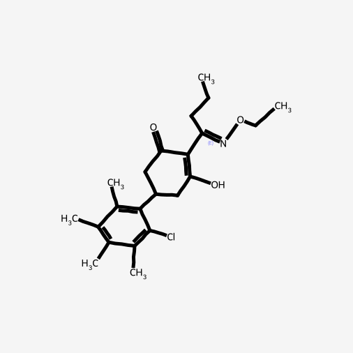 CCC/C(=N\OCC)C1=C(O)CC(c2c(C)c(C)c(C)c(C)c2Cl)CC1=O